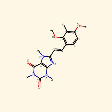 COc1ccc(C=Cc2nc3c(c(=O)n(C)c(=O)n3C)n2C)c(OC)c1C